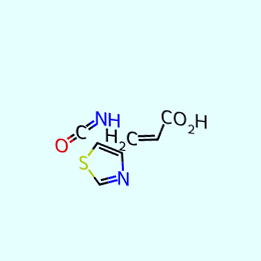 C=CC(=O)O.N=C=O.c1cscn1